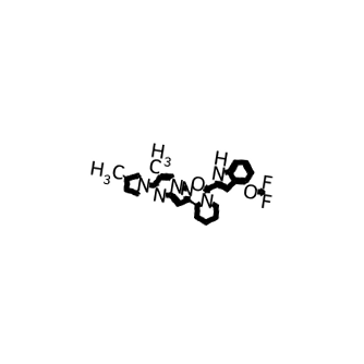 Cc1cn2nc([C@@H]3CCCCN3C(=O)c3cc4c(OC(F)F)cccc4[nH]3)cc2nc1N1CC[C@H](C)C1